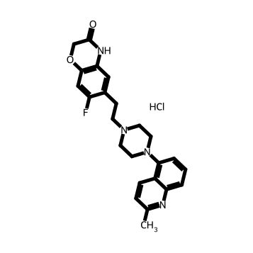 Cc1ccc2c(N3CCN(CCc4cc5c(cc4F)OCC(=O)N5)CC3)cccc2n1.Cl